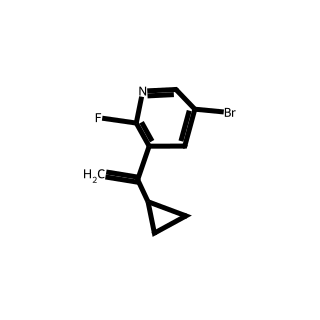 C=C(c1cc(Br)cnc1F)C1CC1